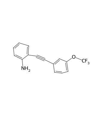 Nc1ccccc1C#Cc1cccc(OC(F)(F)F)c1